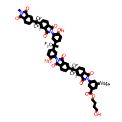 CNc1cc(C(=O)OCCCCO)cc(N2C(=O)c3ccc(C(c4ccc5c(c4)C(=O)N(c4cc(C(C)(c6ccc(O)c(N7C(=O)c8ccc(C(c9ccc%10c(c9)C(=O)N(C)C%10=O)(C(F)(F)F)C(F)(F)F)cc8C7=O)c6)C(F)(F)F)ccc4O)C5=O)(C(F)(F)F)C(F)(F)F)cc3C2=O)c1